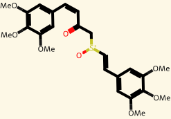 COc1cc(C=C[S+]([O-])CC(=O)/C=C\c2cc(OC)c(OC)c(OC)c2)cc(OC)c1OC